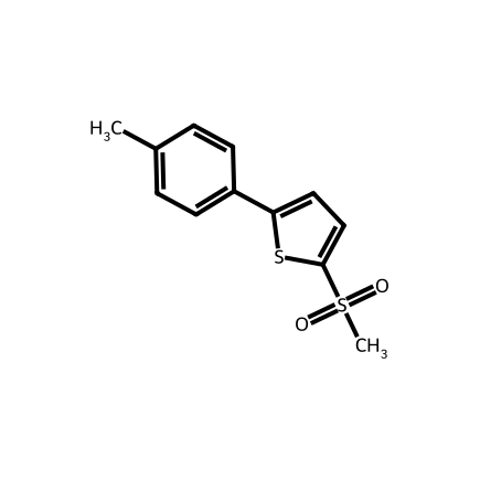 Cc1ccc(-c2ccc(S(C)(=O)=O)s2)cc1